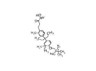 CCC(CC)(C1=CC(C)(C)C(OC[C@H](O)C(C)(C)C)C=C1)c1ccc(CCC(=O)NO)c(C)c1